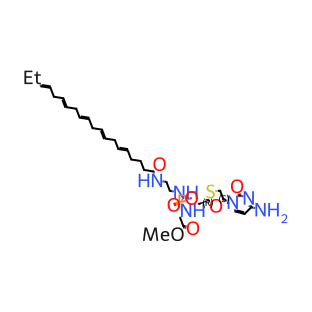 CCC=CCC=CCC=CCC=CCC=CCCCC(=O)NCCNP(=O)(NCC(=O)OC)OC[C@@H]1O[C@H](n2ccc(N)nc2=O)CS1